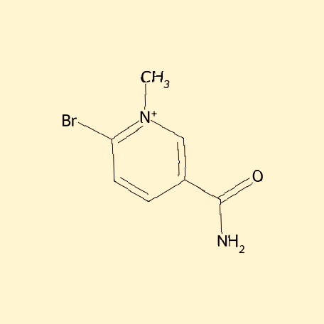 C[n+]1cc(C(N)=O)ccc1Br